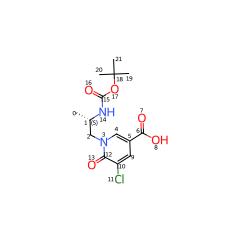 C[C@@H](Cn1cc(C(=O)O)cc(Cl)c1=O)NC(=O)OC(C)(C)C